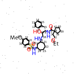 CCOCCC1(C(=O)N[C@@H](Cc2ccccc2)[C@H](O)CNC2CCCCC(NS(=O)(=O)c3ccc(OC)cc3)C2)CCCC1